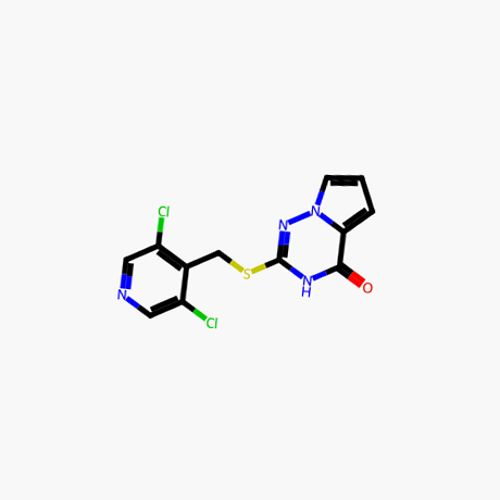 O=c1[nH]c(SCc2c(Cl)cncc2Cl)nn2cccc12